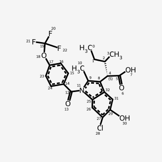 CCC(C)[C@H](C(=O)O)c1c(C)n(C(=O)c2ccc(OC(F)(F)F)cc2)c2cc(Cl)c(O)cc12